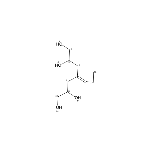 C=C(CC(O)CO)CC(O)CO.CC